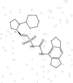 O=C(Nc1c2c(cc3c1CCC3)CCC2)NS(=O)(=O)/C=C/[C@H]1CCCN1C1CCSCC1